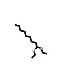 CCCCCCCCC(OCC)OCC